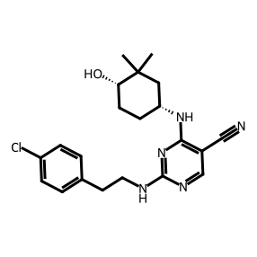 CC1(C)C[C@H](Nc2nc(NCCc3ccc(Cl)cc3)ncc2C#N)CC[C@@H]1O